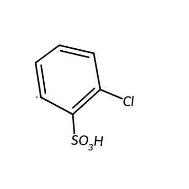 O=S(=O)(O)c1[c]cccc1Cl